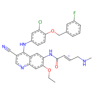 CCOc1cc2ncc(C#N)c(Nc3ccc(OCc4cccc(F)c4)c(Cl)c3)c2cc1NC(=O)/C=C/CNC